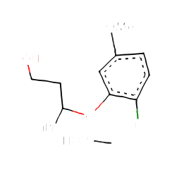 COc1ccc(Cl)c(OC(CCO)C(C)C)c1.CS(=O)(=O)O